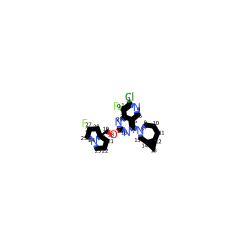 Fc1c(Cl)ncc2c(N3CCCC4CC4C3)nc(OC[C@@]34CCCN3C[C@H](F)C4)nc12